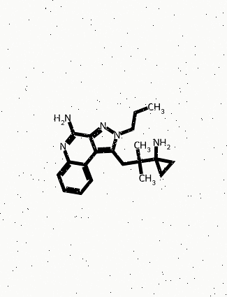 CCCn1nc2c(N)nc3ccccc3c2c1CC(C)(C)C1(N)CC1